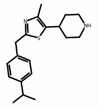 Cc1nc(Cc2ccc(C(C)C)cc2)sc1C1CCNCC1